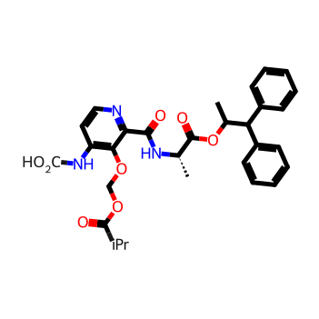 CC(C)C(=O)OCOc1c(NC(=O)O)ccnc1C(=O)N[C@@H](C)C(=O)OC(C)C(c1ccccc1)c1ccccc1